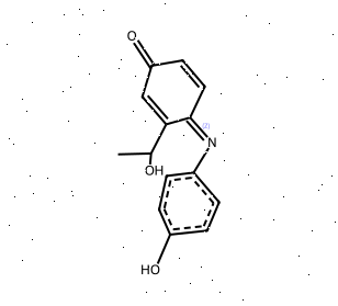 CC(O)C1=CC(=O)C=C/C1=N/c1ccc(O)cc1